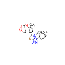 COc1ccccc1-c1nnc2n1N=C(c1ccc(C)c(OC3CCOC3)c1)CS2